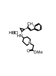 COC(=O)CN1CCC(N[C@@H]2C[C@H]2C(C)=Cc2ccccc2)CC1.Cl.Cl